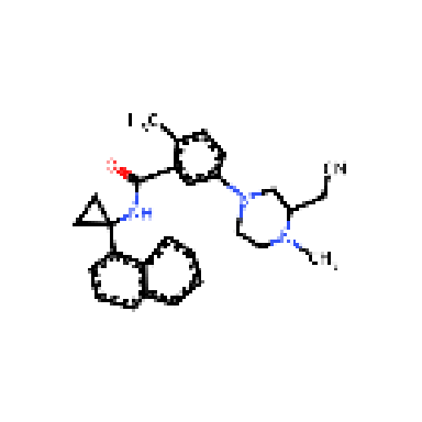 Cc1ccc(N2CCN(C)C(CC#N)C2)cc1C(=O)NC1(c2cccc3ccccc23)CC1